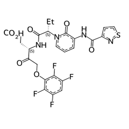 CC[C@@H](C(=O)N[C@@H](CC(=O)O)C(=O)COc1c(F)c(F)cc(F)c1F)n1cccc(NC(=O)c2ccsn2)c1=O